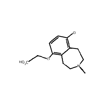 CN1CCc2c(Cl)ccc(OCC(=O)O)c2CC1